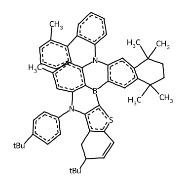 Cc1cc2c3c(c1)N(c1ccc(C(C)(C)C)cc1)c1c(sc4c1CC(C(C)(C)C)C=C4)B3c1cc3c(cc1N2c1ccccc1-c1ccccc1C)C(C)(C)CCC3(C)C